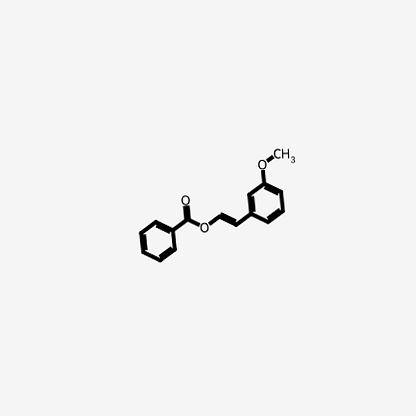 COc1cccc(C=COC(=O)c2ccccc2)c1